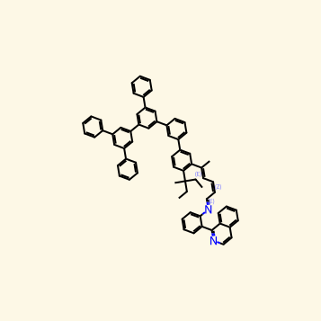 CCC(C)(CC)c1ccc(-c2cccc(-c3cc(-c4ccccc4)cc(-c4cc(-c5ccccc5)cc(-c5ccccc5)c4)c3)c2)cc1/C(C)=C/C=C\C=N\c1ccccc1-c1nccc2ccccc12